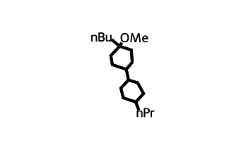 CCCCC1(OC)CCC(C2CCC(CCC)CC2)CC1